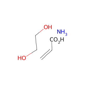 C=CC(=O)O.N.OCCO